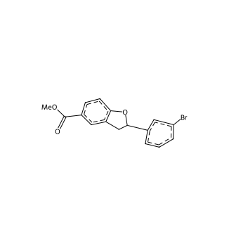 COC(=O)c1ccc2c(c1)CC(c1cccc(Br)c1)O2